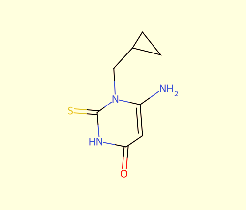 Nc1cc(=O)[nH]c(=S)n1CC1CC1